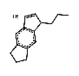 CCC[C]1C=Cc2cc3c(cc21)CCC3.[Hf]